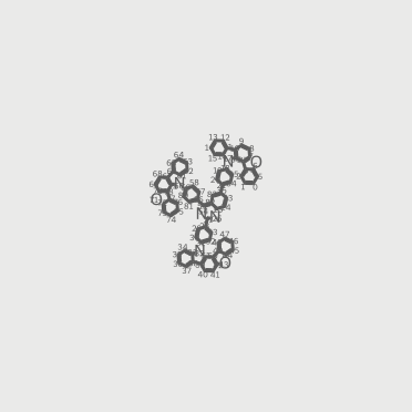 c1ccc2c(c1)oc1ccc3c4ccccc4n(-c4ccc(-c5ccc6nc(-c7ccc(-n8c9ccccc9c9ccc%10oc%11ccccc%11c%10c98)cc7)nc(-c7ccc(-n8c9ccccc9c9ccc%10oc%11ccccc%11c%10c98)cc7)c6c5)cc4)c3c12